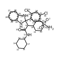 NS(=O)(=O)c1cc(C2(C(C(=O)NC3CCCCC3)C3CCCCC3)Nc3ccccc3N2)c(Cl)cc1Cl